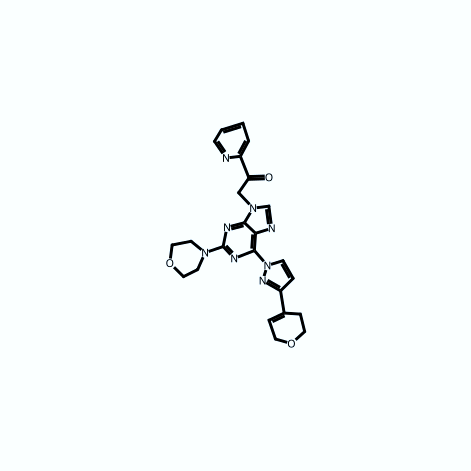 O=C(Cn1cnc2c(-n3ccc(C4=CCOCC4)n3)nc(N3CCOCC3)nc21)c1ccccn1